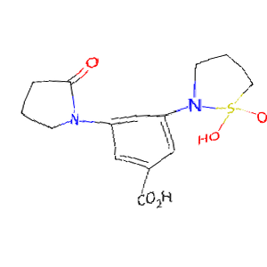 O=C(O)c1cc(N2CCCC2=O)cc(N2CCCS2(O)O)c1